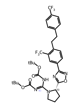 CC(C)(C)OC(=O)/N=C(\NC(=O)OC(C)(C)C)N1CCC[C@H]1c1nc(-c2ccc(CCc3ccc(C(F)(F)F)cc3)c(C(F)(F)F)c2)no1